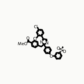 COC(=O)c1ccc(CC2(c3ccc(Oc4cccc(S(C)(=O)=O)c4)cc3)N=CC(c3ccc(Cl)cc3Cl)=N2)cc1